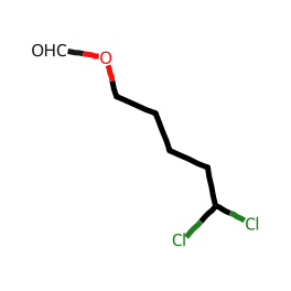 O=COCCCCC(Cl)Cl